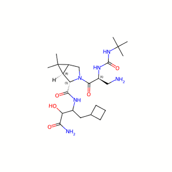 CC(C)(C)NC(=O)N[C@@H](CN)C(=O)N1CC2[C@@H]([C@H]1C(=O)NC(CC1CCC1)C(O)C(N)=O)C2(C)C